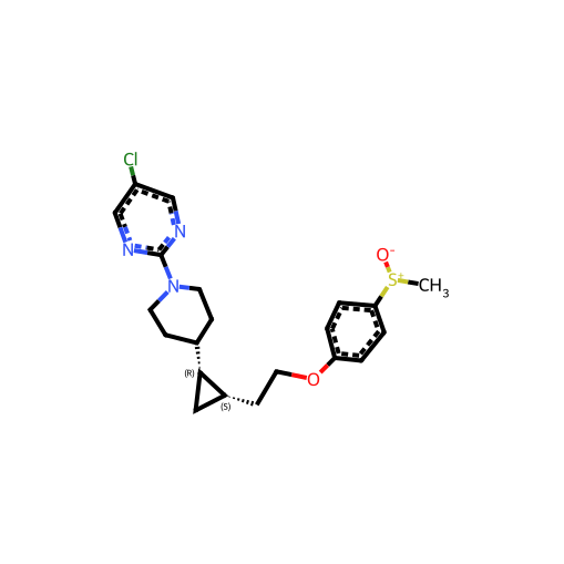 C[S+]([O-])c1ccc(OCC[C@@H]2C[C@@H]2C2CCN(c3ncc(Cl)cn3)CC2)cc1